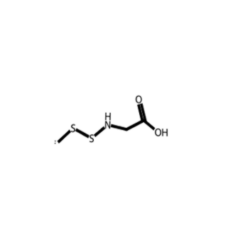 [CH]SSNCC(=O)O